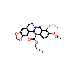 CCOC(=O)c1c2[n+](cc3c(OC)c(OC)ccc13)CCc1cc3c(cc1-2)OCO3